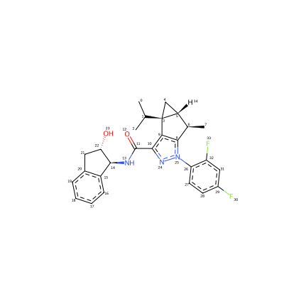 CC(C)[C@@]12C[C@@H]1[C@@H](C)c1c2c(C(=O)N[C@H]2c3ccccc3C[C@@H]2O)nn1-c1ccc(F)cc1F